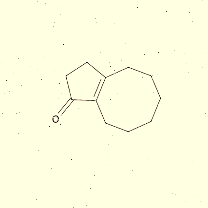 O=C1CCC2=C1CCCCCC2